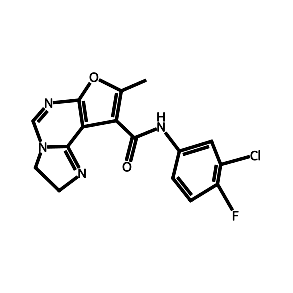 Cc1oc2c(c1C(=O)Nc1ccc(F)c(Cl)c1)C1=NCCN1C=N2